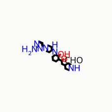 Nc1nccc(N2CCC(NC3CCCC(C(CC4CCNCC4)OC=O)C3O)CC2)n1